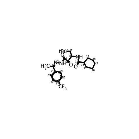 CC(=NNC(=O)C(=O)C(CC(C)(C)C)NC(=O)C1CCCCC1)c1ccc(C(F)(F)F)cc1